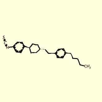 CCCCCc1ccc(CC[C@H]2CC[C@H](c3ccc(N=C=S)cc3)CC2)cc1